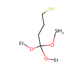 CCOC(CCCS)(O[SiH3])OCC